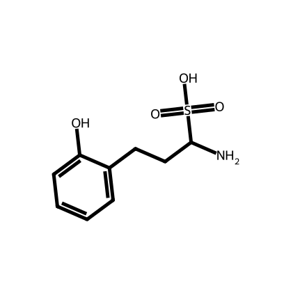 NC(CCc1ccccc1O)S(=O)(=O)O